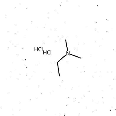 CCN(C)C.Cl.Cl